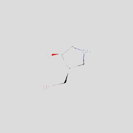 OC[C@@H]1CNC[C@@H]1O